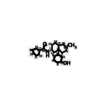 CN1CCC2(c3cccc(O)c3)C[C@H](NC(=O)c3ccccc3)CCC2C1